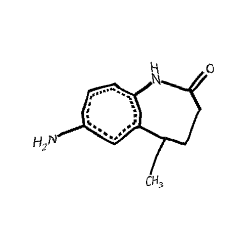 CC1CCC(=O)Nc2ccc(N)cc21